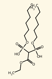 CCCCCCOP(=O)(O)C(C(=O)OCC)P(=O)(O)OCCCCCC